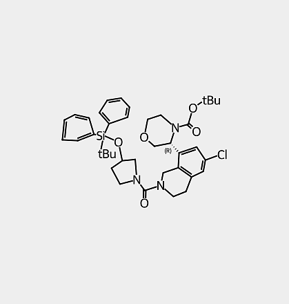 CC(C)(C)OC(=O)N1CCOC[C@H]1c1cc(Cl)cc2c1CN(C(=O)N1CCC(O[Si](c3ccccc3)(c3ccccc3)C(C)(C)C)C1)CC2